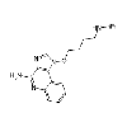 CC(C)NCCCCOn1cnc2c(N)nc3ccccc3c21